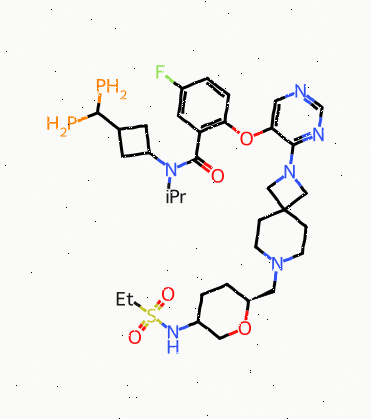 CCS(=O)(=O)NC1CC[C@@H](CN2CCC3(CC2)CN(c2ncncc2Oc2ccc(F)cc2C(=O)N(C(C)C)C2CC(C(P)P)C2)C3)OC1